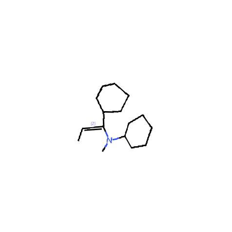 C/C=C(/C1CCCCC1)N(C)C1CCCCC1